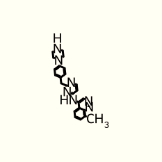 Cc1cccc2c(Nc3ccnc(Cc4ccc(N5CCNCC5)cc4)n3)cnnc12